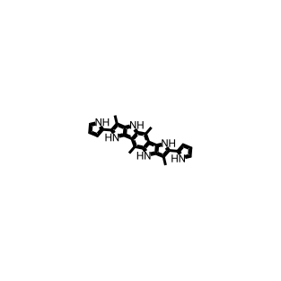 Cc1c(-c2ccc[nH]2)[nH]c2c1[nH]c1c(C)c3c([nH]c4c(C)c(-c5ccc[nH]5)[nH]c43)c(C)c12